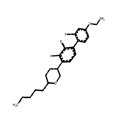 CCCCCC1CCC(c2ccc(-c3ccc(OCC)cc3F)c(F)c2F)CO1